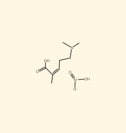 CC(=CCCN(C)C)C(=O)O.O=[N+]([O-])O